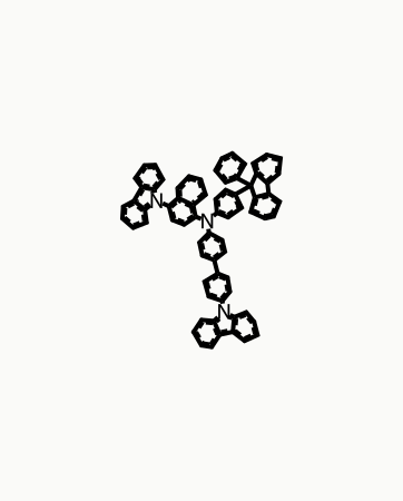 c1ccc(C2(c3ccc(N(c4ccc(-c5ccc(-n6c7ccccc7c7ccccc76)cc5)cc4)c4ccc(-n5c6ccccc6c6ccccc65)c5ccccc45)cc3)c3ccccc3-c3ccccc32)cc1